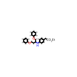 CCOC(=O)Cc1ccc(NC(CCOc2ccccc2)COc2ccccc2)cc1